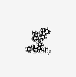 CC1(C)c2ccccc2-c2ccc(N(c3ccc4c(c3)-c3c(ccc5c3oc3ccccc35)C4(C)C)c3cccc4ccccc34)cc21